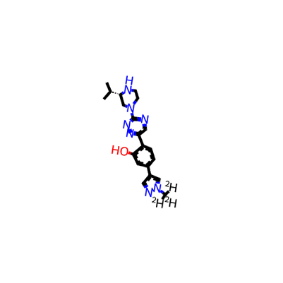 [2H]C([2H])([2H])n1cc(-c2ccc(-c3cnc(N4CCN[C@@H](C(C)C)C4)nn3)c(O)c2)cn1